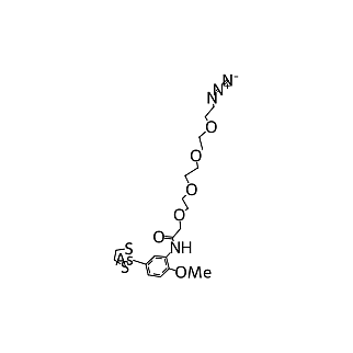 COc1ccc([As]2SCCS2)cc1NC(=O)COCCOCCOCCOCCN=[N+]=[N-]